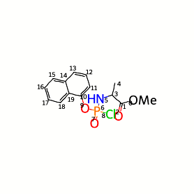 COC(=O)C(C)NP(=O)(Cl)Oc1cccc2ccccc12